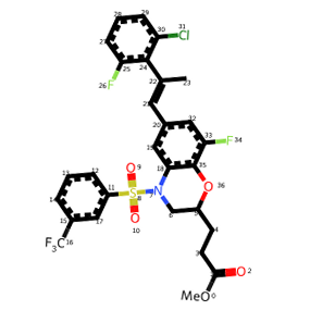 COC(=O)CCC1CN(S(=O)(=O)c2cccc(C(F)(F)F)c2)c2cc(C=C(C)c3c(F)cccc3Cl)cc(F)c2O1